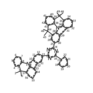 CC1(C)c2ccccc2-n2c3ccc(-c4nc(-c5ccccc5)nc(-c5cc6c7c(c5)c5cccc8c5n7-c5c(cccc5C6(C)C)C8(C)C)n4)cc3c3cccc1c32